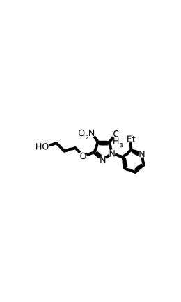 CCc1ncccc1-n1nc(OCCCO)c([N+](=O)[O-])c1C